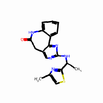 Cc1csc(C(C)Nc2ncc3c(n2)-c2ccccc2NC(=O)C3)n1